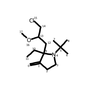 C=C1CCN(C(C)(C)C)C1(CC)CC(CCl)OC